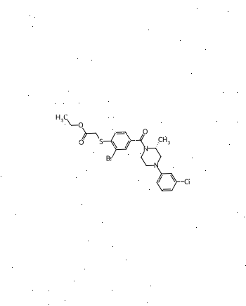 CCOC(=O)CSc1ccc(C(=O)N2CCN(c3cccc(Cl)c3)C[C@H]2C)cc1Br